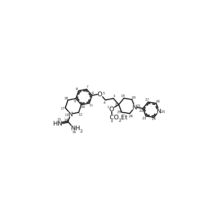 CCOC(=O)OC1(CCOc2ccc3c(c2)CN(C(=N)N)CC3)CCN(c2ccncc2)CC1